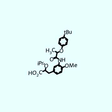 COc1ccc(CC(OC(C)C)C(=O)O)cc1NC(=O)C(C)Oc1ccc(C(C)(C)C)cc1